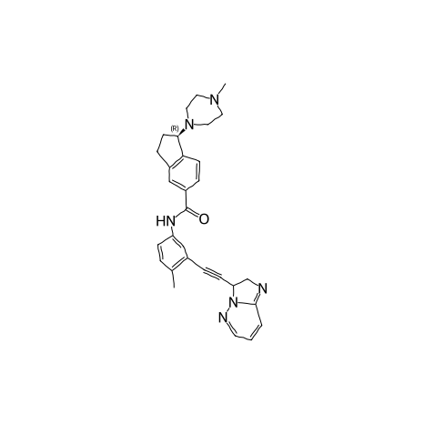 Cc1ccc(NC(=O)c2ccc3c(c2)CC[C@H]3N2CCN(C)CC2)cc1C#CC1CN=C2C=CC=NN21